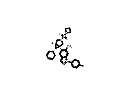 Cc1cc2c(cnn2-c2ccc(F)cc2)cc1[C@@]12CN(S(=O)(=O)N3CCC3)C[C@@H]1[C@H]2C1C=CC=CC1